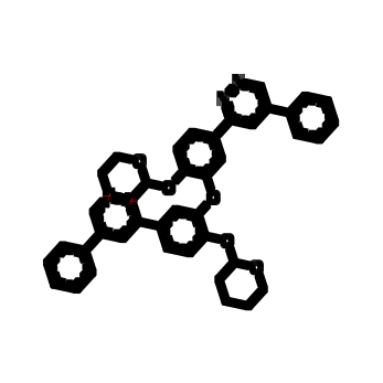 c1ccc(-c2cnnc(-c3ccc(OC4CCCCO4)c(Oc4cc(-c5cc(-c6ccccc6)cnn5)ccc4OC4CCCCO4)c3)c2)cc1